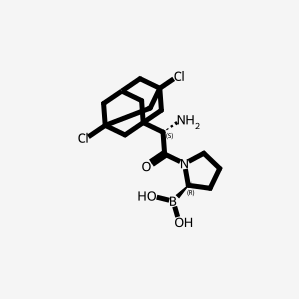 N[C@H](C(=O)N1CCC[C@H]1B(O)O)C12CC3CC(Cl)(CC(Cl)(C3)C1)C2